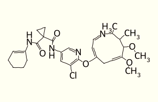 CO/C1=C/C/C(Oc2ncc(NC(=O)C3(C(=O)NC4=CCCCC4)CC3)cc2Cl)=C\C=N/C(C)C(C)C1OC